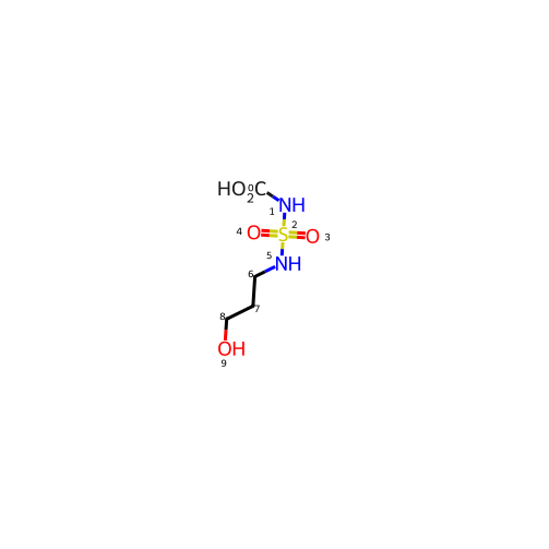 O=C(O)NS(=O)(=O)NCCCO